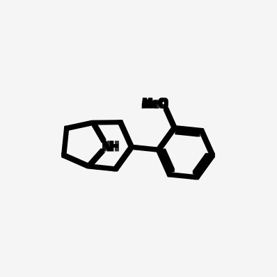 COc1ccccc1C1CC2CCC(C1)N2